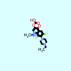 CCN1CCN(c2c(F)cc3c(=O)c(OC(=O)O)cn(NC)c3c2F)CC1